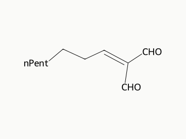 CCCCCCCC=C(C=O)C=O